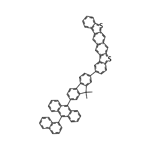 CC1(C)c2cc(-c3ccc4sc5cc6cc7sc8ccccc8c7cc6cc5c4c3)ccc2-c2ccc(-c3c4ccccc4c(-c4cccc5ccccc45)c4ccccc34)cc21